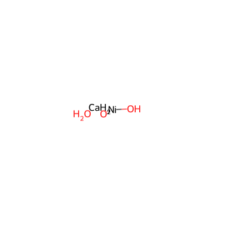 O.[CaH2].[O]=[Ni][OH]